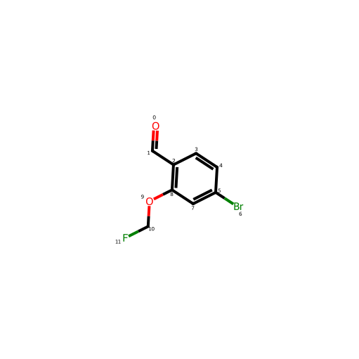 O=Cc1ccc(Br)cc1OCF